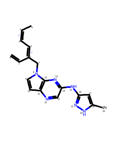 C=C/C(=C\C=C/C)Cn1ccc2ncc(Nc3cc(C(C)C)[nH]n3)nc21